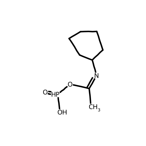 CC(=NC1CCCCC1)O[PH](=O)O